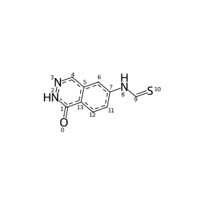 O=c1[nH]ncc2cc(NC=S)ccc12